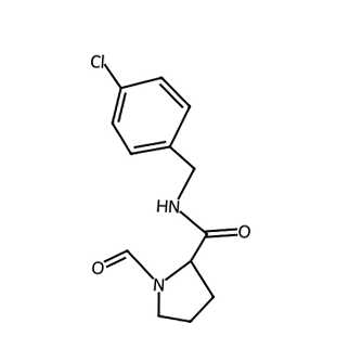 O=CN1CCCC1C(=O)NCc1ccc(Cl)cc1